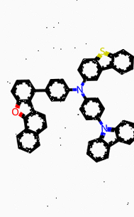 c1ccc2c(c1)ccc1c2oc2cccc(-c3ccc(N(c4ccc(-n5c6ccccc6c6ccccc65)cc4)c4ccc5sc6ccccc6c5c4)cc3)c21